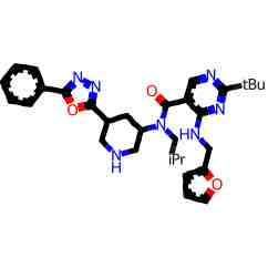 CC(C)CN(C(=O)c1cnc(C(C)(C)C)nc1NCc1ccco1)C1CNCC(c2nnc(-c3ccccc3)o2)C1